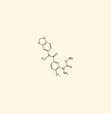 CN(C(=O)c1ccc(C(F)(F)F)c(N(N)C(=O)OC(C)(C)C)c1)c1ccc2c(c1)OCO2